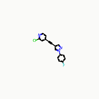 Fc1ccc(-n2cc(C#Cc3ccnc(Cl)c3)cn2)cc1